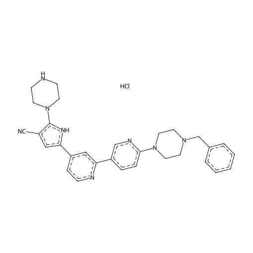 Cl.N#Cc1cc(-c2ccnc(-c3ccc(N4CCN(Cc5ccccc5)CC4)nc3)c2)[nH]c1N1CCNCC1